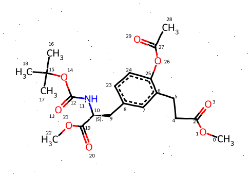 COC(=O)CCc1cc(C[C@H](NC(=O)OC(C)(C)C)C(=O)OC)ccc1OC(C)=O